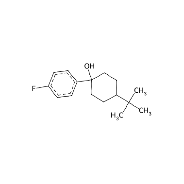 CC(C)(C)C1CCC(O)(c2ccc(F)cc2)CC1